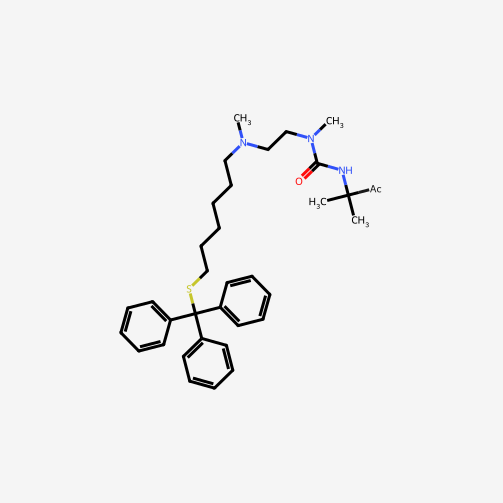 CC(=O)C(C)(C)NC(=O)N(C)CCN(C)CCCCCCSC(c1ccccc1)(c1ccccc1)c1ccccc1